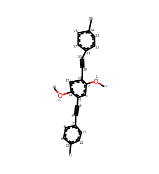 COc1cc(C#Cc2ccc(C)cc2)c(OC)cc1C#Cc1ccc(C)cc1